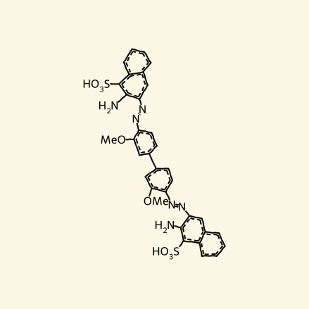 COc1cc(-c2ccc(/N=N/c3cc4ccccc4c(S(=O)(=O)O)c3N)c(OC)c2)ccc1/N=N/c1cc2ccccc2c(S(=O)(=O)O)c1N